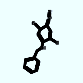 [N-]=[N+]=C1C=C(Cl)C(NCc2ccccc2)=CC1Cl